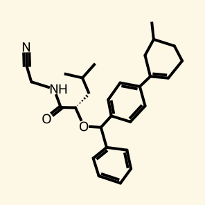 CC(C)C[C@H](OC(c1ccccc1)c1ccc(C2=CCCC(C)C2)cc1)C(=O)NCC#N